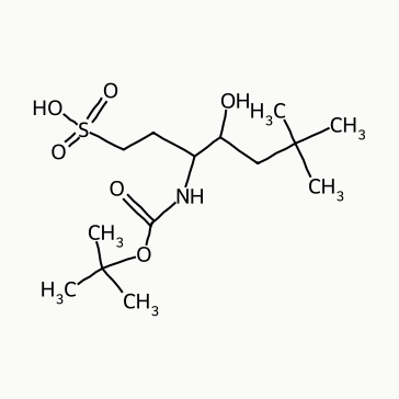 CC(C)(C)CC(O)C(CCS(=O)(=O)O)NC(=O)OC(C)(C)C